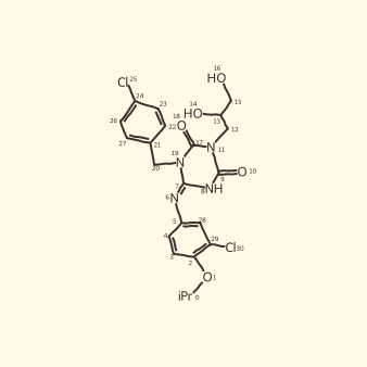 CC(C)Oc1ccc(N=c2[nH]c(=O)n(CC(O)CO)c(=O)n2Cc2ccc(Cl)cc2)cc1Cl